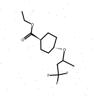 CCOC(=O)[C@H]1CC[C@H](OC(C)CC(F)(F)F)CC1